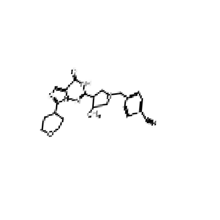 CC1CN(Cc2ccc(C#N)cc2)CC1c1nn2c(C3CCOCC3)ncc2c(=O)[nH]1